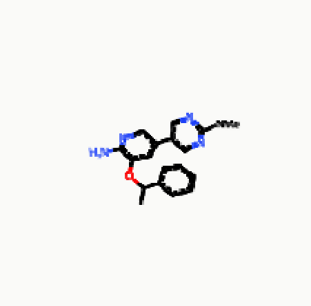 CNc1ncc(-c2cnc(N)c(OC(C)c3ccccc3)c2)cn1